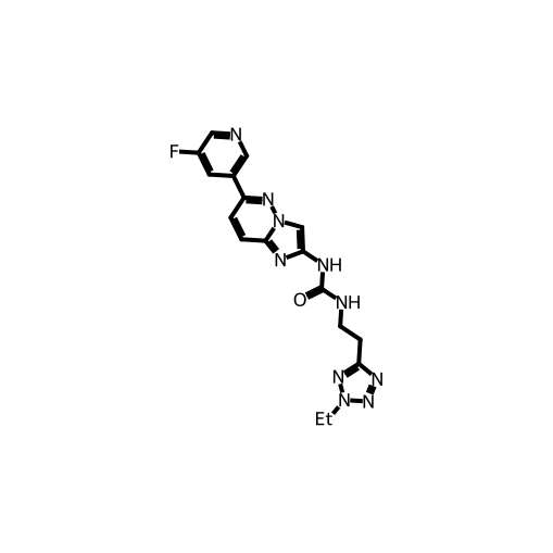 CCn1nnc(CCNC(=O)Nc2cn3nc(-c4cncc(F)c4)ccc3n2)n1